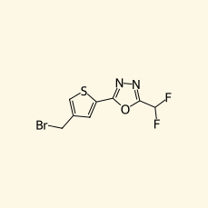 FC(F)c1nnc(-c2cc(CBr)cs2)o1